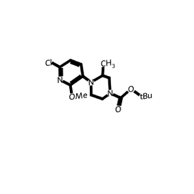 COc1nc(Cl)ccc1N1CCN(C(=O)OC(C)(C)C)CC1C